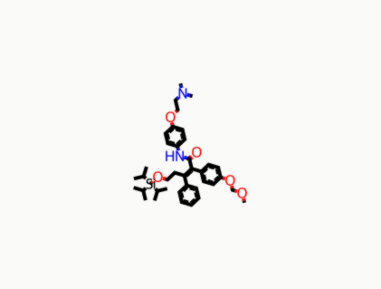 COCOc1ccc(/C(C(=O)Nc2ccc(OCCN(C)C)cc2)=C(/CCO[Si](C(C)C)(C(C)C)C(C)C)c2ccccc2)cc1